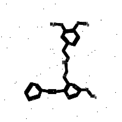 COc1ccc(C#Cc2ccccc2)c(CCNCCc2ccc(OC)c(OC)c2)c1